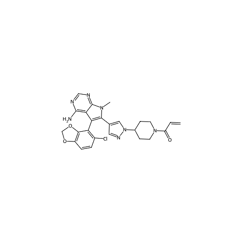 C=CC(=O)N1CCC(n2cc(-c3c(-c4c(Cl)ccc5c4OCO5)c4c(N)ncnc4n3C)cn2)CC1